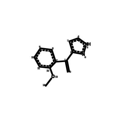 C=C(c1cc[nH]n1)c1ccccc1OC